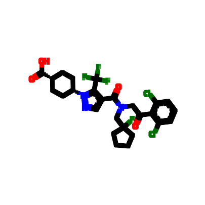 O=C(CN(CC1(F)CCCC1)C(=O)c1cnn([C@H]2CC[C@@H](C(=O)O)CC2)c1C(F)(F)F)c1c(Cl)cccc1Cl